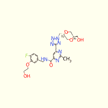 Cc1nc(C(=O)NCc2ccc(F)c(OCCO)c2)cc(-c2nnn(C[C@H]3CO[C@H](CO)CO3)n2)n1